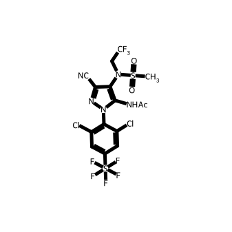 CC(=O)Nc1c(N(CC(F)(F)F)S(C)(=O)=O)c(C#N)nn1-c1c(Cl)cc(S(F)(F)(F)(F)F)cc1Cl